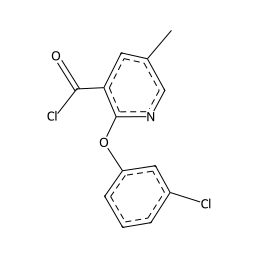 Cc1cnc(Oc2cccc(Cl)c2)c(C(=O)Cl)c1